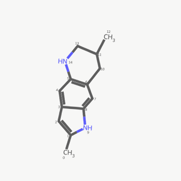 Cc1cc2cc3c(cc2[nH]1)CC(C)CN3